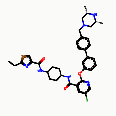 CCc1nc(C(=O)NC2CCC(NC(=O)c3cc(F)cnc3Oc3cccc(-c4ccc(CN5C[C@@H](C)N[C@@H](C)C5)cc4)c3)CC2)cs1